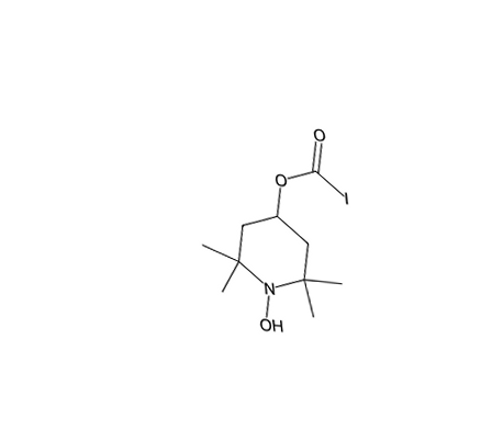 CC1(C)CC(OC(=O)I)CC(C)(C)N1O